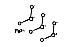 [Fe+3].[O-][Cl+][O-].[O-][Cl+][O-].[O-][Cl+][O-]